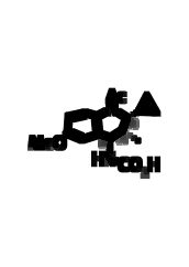 COc1ccc2c(c1)[C@H](NC(=O)O)[C@@H](C)[C@@H](C1CC1)N2C(C)=O